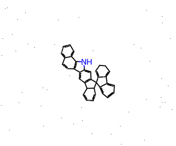 C1=CC2c3cc4c(cc3C3(C5=CCCC=C5c5ccccc53)C2C=C1)[nH]c1c2ccccc2ccc41